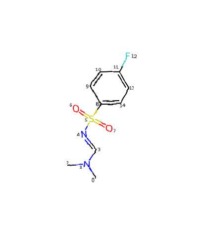 CN(C)C=NS(=O)(=O)c1ccc(F)cc1